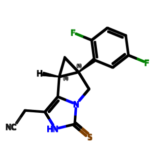 N#CCc1[nH]c(=S)n2c1[C@@H]1C[C@]1(c1cc(F)ccc1F)C2